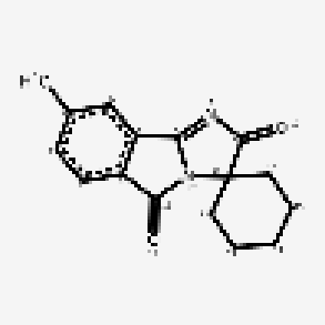 Cc1ccc2c(c1)C1=NC(=O)C3(CCCCC3)N1C2=O